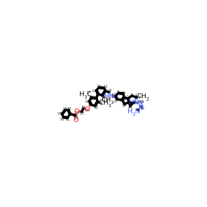 C=C(CC1c2ccc(NCc3cccc(-c4c(C)cc(OCCOC(=O)c5ccccc5)cc4C)c3C)cc2CC12CC2)N/N=N\N